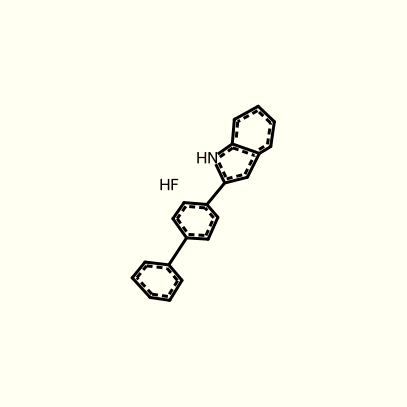 F.c1ccc(-c2ccc(-c3cc4ccccc4[nH]3)cc2)cc1